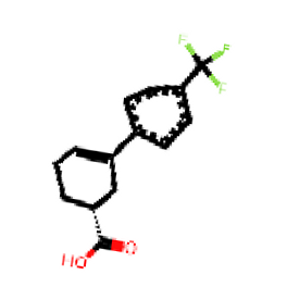 O=C(O)[C@@H]1CCC=C(c2ccc(C(F)(F)F)cc2)C1